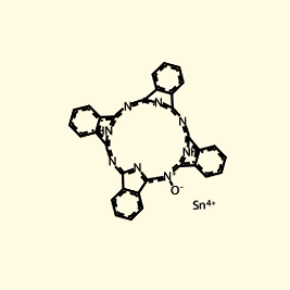 [O-][n+]1c2nc(nc3[nH]c(nc4nc(nc5[nH]c1c1ccccc51)-c1ccccc1-4)c1ccccc31)-c1ccccc1-2.[Sn+4]